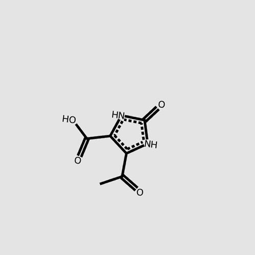 CC(=O)c1[nH]c(=O)[nH]c1C(=O)O